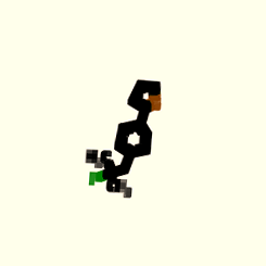 CC(C)(F)Cc1ccc(-c2cccs2)cc1